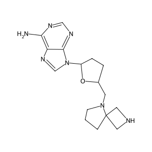 Nc1ncnc2c1ncn2C1CCC(CN2CCCC23CNC3)O1